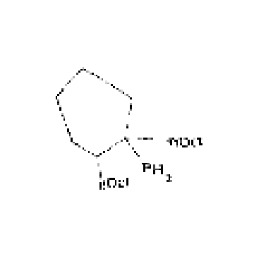 CCCCCCCCC1CCCCC1(P)CCCCCCCC